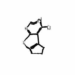 Clc1ncnc2sc3c(c12)CCC3